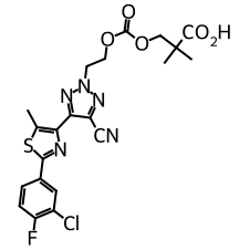 Cc1sc(-c2ccc(F)c(Cl)c2)nc1-c1nn(CCOC(=O)OCC(C)(C)C(=O)O)nc1C#N